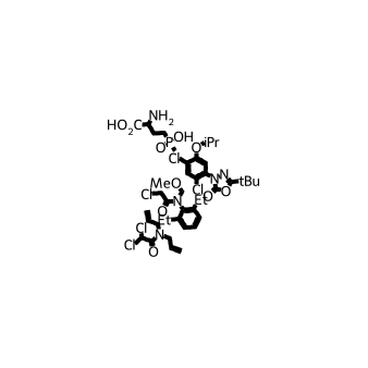 C=CCN(CC=C)C(=O)C(Cl)Cl.CC(C)Oc1cc(-n2nc(C(C)(C)C)oc2=O)c(Cl)cc1Cl.CCc1cccc(CC)c1N(COC)C(=O)CCl.CP(=O)(O)CCC(N)C(=O)O